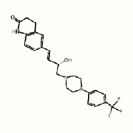 O=C1CCc2cc(C=C[C@H](O)CN3CCN(c4ccc(C(F)(F)F)cc4)CC3)ccc2N1